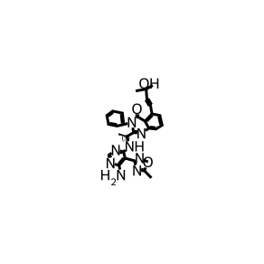 Cc1nc(-c2c(N)ncnc2N[C@@H](C)c2nc3cccc(C#CC(C)(C)O)c3c(=O)n2-c2ccccc2)no1